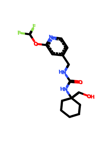 O=C(NCc1ccnc(OC(F)F)c1)NC1(CO)CCCCC1